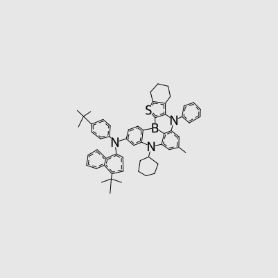 Cc1cc2c3c(c1)N(C1CCCCC1)c1cc(N(c4ccc(C(C)(C)C)cc4)c4ccc(C(C)(C)C)c5ccccc45)ccc1B3c1sc3c(c1N2c1ccccc1)CCCC3